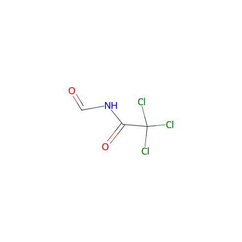 O=CNC(=O)C(Cl)(Cl)Cl